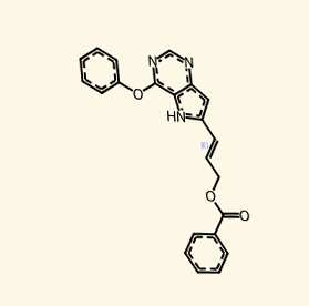 O=C(OC/C=C/c1cc2ncnc(Oc3ccccc3)c2[nH]1)c1ccccc1